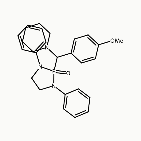 COc1ccc(C(N2CCCCC2)P2(=O)N(c3ccccc3)CCN2c2ccccc2)cc1